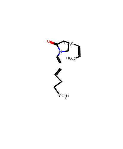 C=CCCC(=O)O.C=CN1CCCC1=O.O=C(O)/C=C\C(=O)O